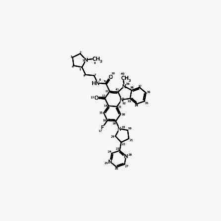 CN1CCCC1CCNC(=O)c1c(=O)c2cc(F)c(N3CCC(c4cnccn4)C3)cc2n2c3ccccc3n(C)c12